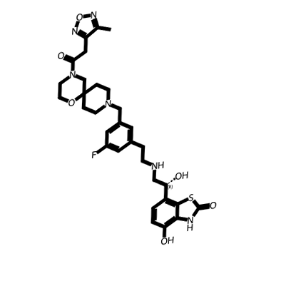 Cc1nonc1CC(=O)N1CCOC2(CCN(Cc3cc(F)cc(CCNC[C@H](O)c4ccc(O)c5[nH]c(=O)sc45)c3)CC2)C1